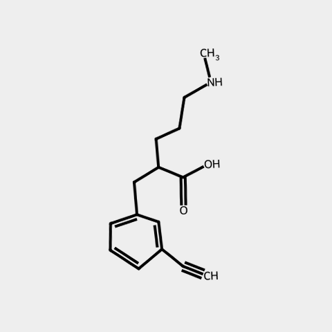 C#Cc1cccc(CC(CCCNC)C(=O)O)c1